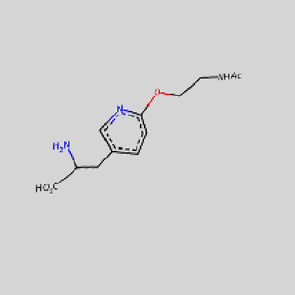 CC(=O)NCCOc1ccc(CC(N)C(=O)O)cn1